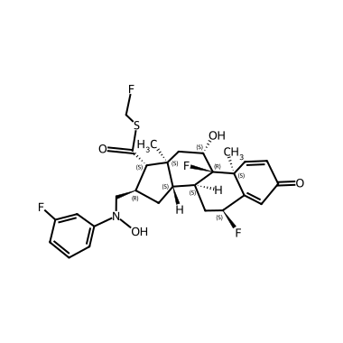 C[C@]12C[C@H](O)[C@@]3(F)[C@@H](C[C@H](F)C4=CC(=O)C=C[C@@]43C)[C@@H]1C[C@@H](CN(O)c1cccc(F)c1)[C@@H]2C(=O)SCF